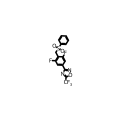 O=S(=O)(Cc1c(F)cc(-c2noc(C(F)(F)F)n2)cc1F)c1ccccc1